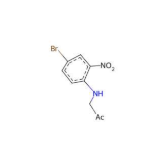 CC(=O)CNc1ccc(Br)cc1[N+](=O)[O-]